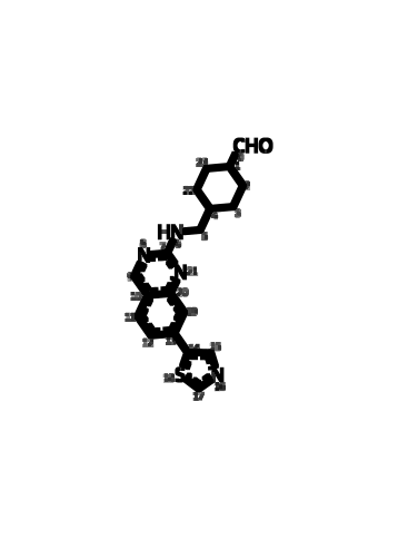 O=CC1CCC(CNc2ncc3ccc(-c4cncs4)cc3n2)CC1